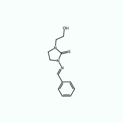 OCCN1CCN(N=Cc2ccccc2)C1=S